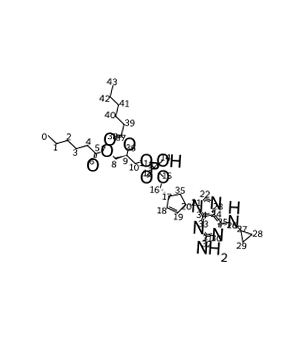 CCCCCC(=O)OC[C@H](COP(=O)(O)OC[C@H]1C=C[C@@H](n2cnc3c(NC4CC4)nc(N)nc32)C1)OC(=O)CCCCC